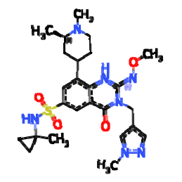 CO/N=c1\[nH]c2c(C3CCN(C)[C@H](C)C3)cc(S(=O)(=O)NC3(C)CC3)cc2c(=O)n1Cc1cnn(C)c1